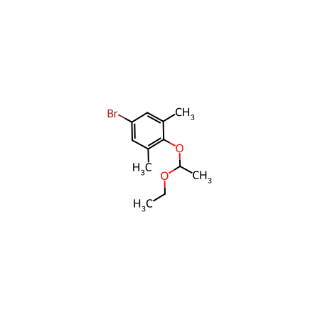 CCOC(C)Oc1c(C)cc(Br)cc1C